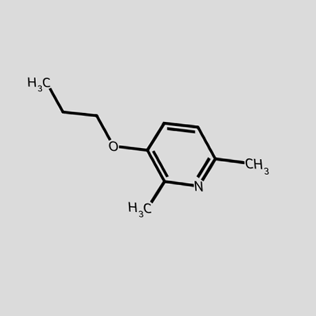 CCCOc1ccc(C)nc1C